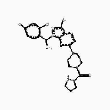 CC(=O)c1nn(C(C)c2ccc(Cl)cc2Cl)c2nc(N3CCN(C(=O)C4CCCN4)CC3)cnc12